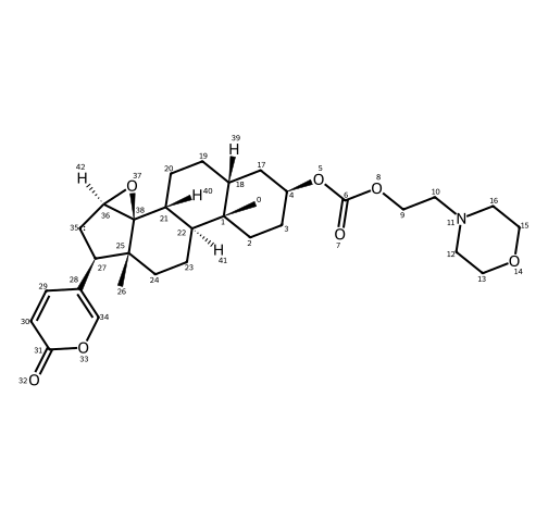 C[C@]12CC[C@H](OC(=O)OCCN3CCOCC3)C[C@H]1CC[C@@H]1[C@@H]2CC[C@]2(C)[C@@H](c3ccc(=O)oc3)[C][C@H]3O[C@]132